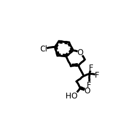 O=C(O)CC(C1=Cc2cc(Cl)ccc2OC1)C(F)(F)F